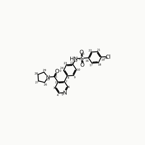 O=C(c1ccncc1-c1ccc(NS(=O)(=O)c2ccc(Cl)cc2)cc1)N1CCCC1